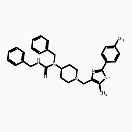 Cc1[nH]c(-c2ccc(C(F)(F)F)cc2)nc1CN1CCC(N(Cc2ccccc2)C(=O)NCc2ccccc2)CC1